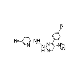 N#Cc1ccc(-c2nc(NCCNc3ccc(C#N)cn3)ncc2-n2ccnc2)cc1